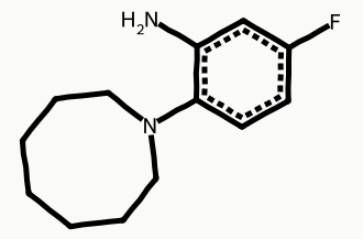 Nc1cc(F)ccc1N1CCCCCCC1